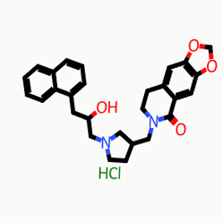 Cl.O=C1c2cc3c(cc2CCN1CC1CCN(CC(O)Cc2cccc4ccccc24)C1)OCO3